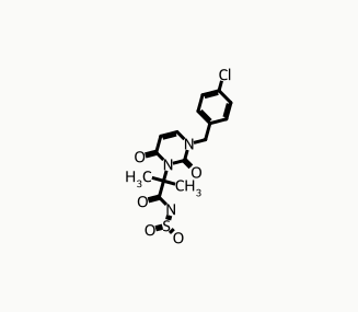 CC(C)(C(=O)N=S(=O)=O)n1c(=O)ccn(Cc2ccc(Cl)cc2)c1=O